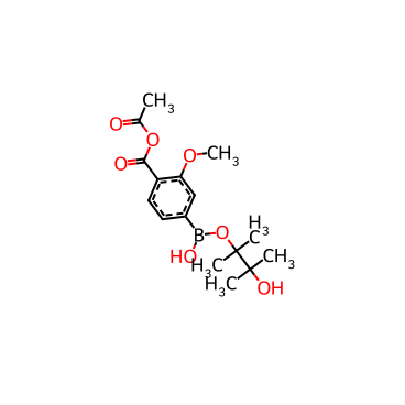 COc1cc(B(O)OC(C)(C)C(C)(C)O)ccc1C(=O)OC(C)=O